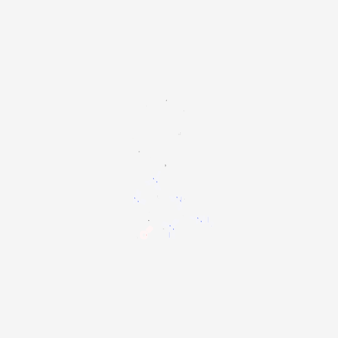 Nc1nc2c(ncn2Cc2csc3ccccc23)c(=O)[nH]1